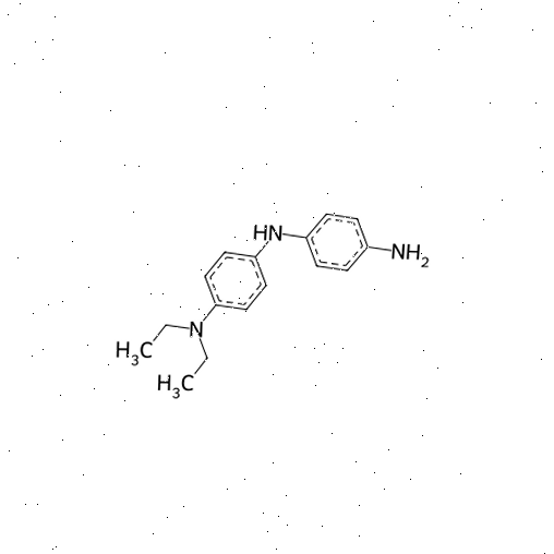 CCN(CC)c1ccc(Nc2ccc(N)cc2)cc1